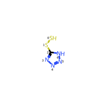 SSc1nnn[nH]1